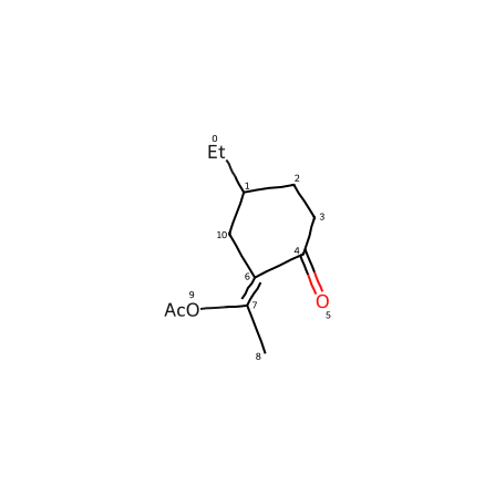 CCC1CCC(=O)C(=C(C)OC(C)=O)C1